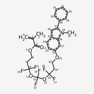 C=C(C)C(=O)OCCC(F)(F)OC(F)(F)OC(F)(F)CCOc1ccc2cc(-c3ccccc3)n(C)c2c1